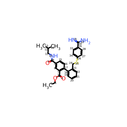 CCOC(=O)c1cc(C(=O)NCC(C)C)ccc1-c1ccccc1CSc1ccc(C(=N)N)cc1